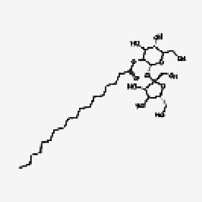 CCCCCCCCCCCCCCCCCC(=O)OC1C(O)[C@H](O)C(CO)O[C@@H]1O[C@]1(CO)O[C@H](CO)C(O)C1O